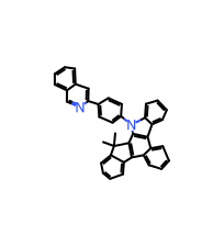 CC1(C)c2ccccc2-c2c1c1c(c3ccccc23)c2ccccc2n1-c1ccc(-c2cc3ccccc3cn2)cc1